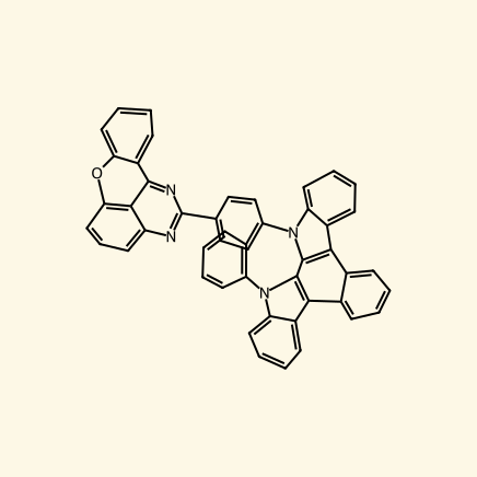 c1ccc(-n2c3ccccc3c3c4ccccc4c4c5ccccc5n(-c5ccc(-c6nc7c8c(cccc8n6)Oc6ccccc6-7)cc5)c4c32)cc1